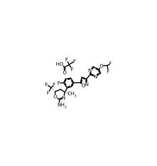 C[C@@]1(c2cc(-c3cc(-c4ncc(OC(F)F)cn4)no3)ccc2F)C[C@@H](C(F)(F)F)OC(N)=N1.O=C(O)C(F)(F)F